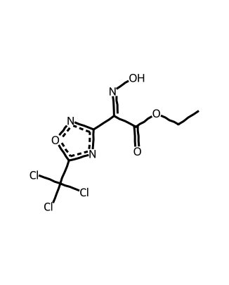 CCOC(=O)C(=NO)c1noc(C(Cl)(Cl)Cl)n1